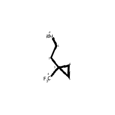 CCC(C)CCC1(C(F)(F)F)CC1